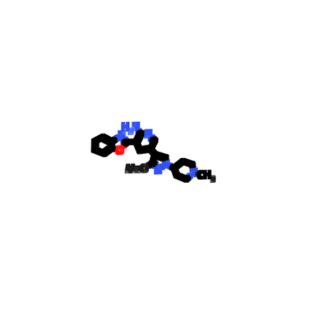 COc1nn(C2CCN(C)CC2)cc1-c1cnc(N)c(-c2nc3ccccc3o2)c1